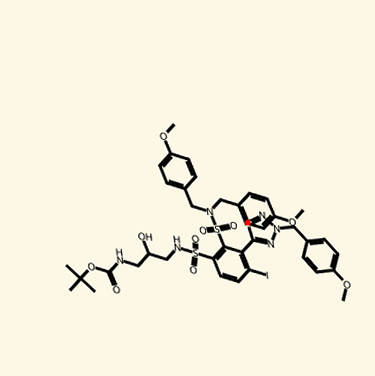 COc1ccc(CN(Cc2ccc(OC)cc2)S(=O)(=O)c2c(S(=O)(=O)NCC(O)CNC(=O)OC(C)(C)C)ccc(I)c2-c2nnn(Cc3ccc(OC)cc3)n2)cc1